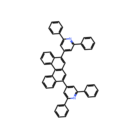 c1ccc(-c2cc(-c3cc4cc(-c5cc(-c6ccccc6)nc(-c6ccccc6)c5)c5ccccc5c4c4ccccc34)cc(-c3ccccc3)n2)cc1